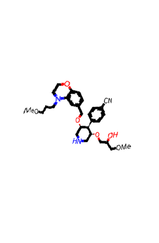 COCCCN1CCOc2ccc(CO[C@H]3CNC[C@@H](OCC(O)COC)[C@@H]3c3ccc(C#N)cc3)cc21